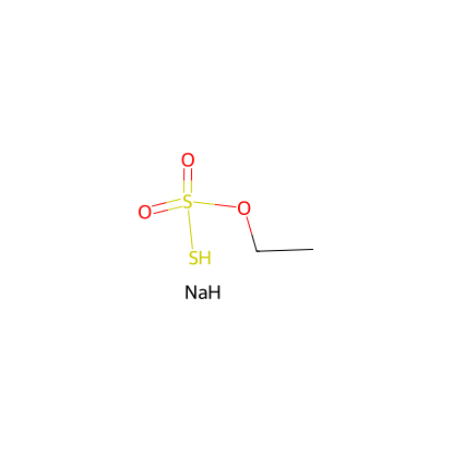 CCOS(=O)(=O)S.[NaH]